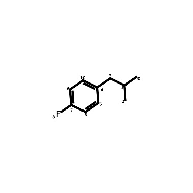 C[C](C)Cc1ccc(F)cc1